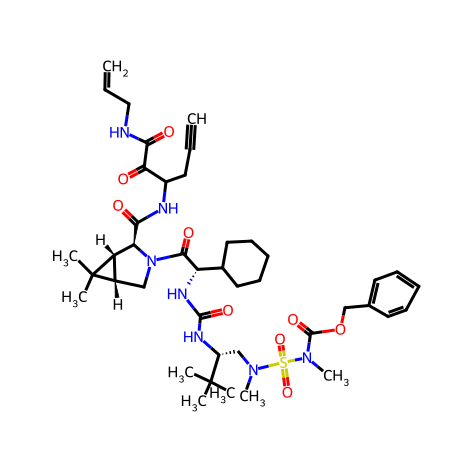 C#CCC(NC(=O)[C@@H]1[C@@H]2[C@H](CN1C(=O)[C@@H](NC(=O)N[C@H](CN(C)S(=O)(=O)N(C)C(=O)OCc1ccccc1)C(C)(C)C)C1CCCCC1)C2(C)C)C(=O)C(=O)NCC=C